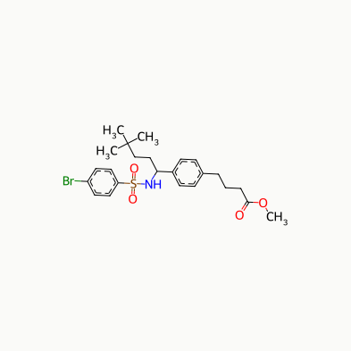 COC(=O)CCCc1ccc(C(CCC(C)(C)C)NS(=O)(=O)c2ccc(Br)cc2)cc1